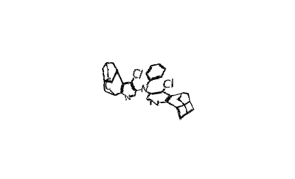 Clc1c(N(c2ccccc2)c2cnc3c(c2Cl)C2CC4CC5CC3C45C2)cnc2c1C1CC3CC(CC2C3)C1